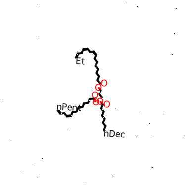 CC/C=C\C/C=C\C/C=C\CCCCCCCC(=O)OC[C@@H](COC(=O)CCCCCCCCCCCCCCCCC)OC(=O)CCCCCCC/C=C\C/C=C\CCCCC